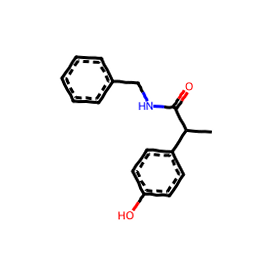 CC(C(=O)NCc1ccccc1)c1ccc(O)cc1